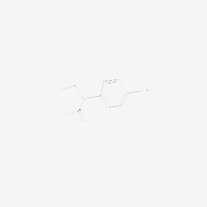 CCN(C(=O)O)c1ccc(O)cc1